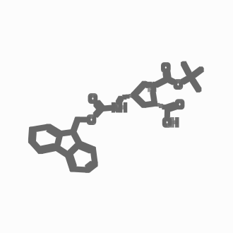 CC(C)(C)OC(=O)N1C[C@@H](CNC(=O)OCC2c3ccccc3-c3ccccc32)C[C@H]1C(=O)O